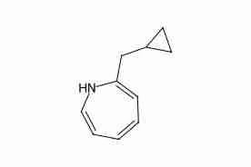 C1=CC=C(CC2CC2)NC=C1